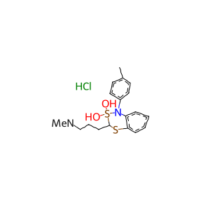 CNCCCC1Sc2ccccc2N(c2ccc(C)cc2)S1(O)O.Cl